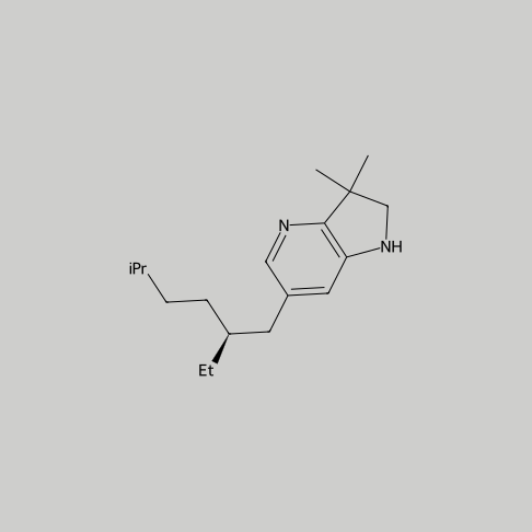 CC[C@@H](CCC(C)C)Cc1cnc2c(c1)NCC2(C)C